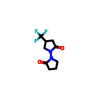 O=C1CCCN1N1CC(C(F)(F)F)CC1=O